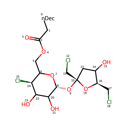 CCCCCCCCCCCC(=O)OCC1O[C@H](O[C@]2(CCl)CC(O)[C@@H](CCl)O2)C(O)C(O)[C@H]1Cl